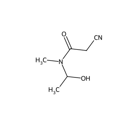 CC(O)N(C)C(=O)CC#N